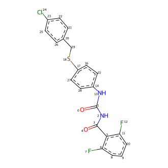 O=C(NC(=O)c1c(F)cccc1F)Nc1ccc(SCc2ccc(Cl)cc2)cc1